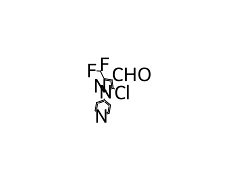 O=Cc1c(C(F)F)nn(-c2ccncc2)c1Cl